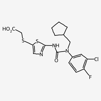 O=C(O)CSc1cnc(NC(=O)N(CC2CCCC2)c2ccc(F)c(Cl)c2)s1